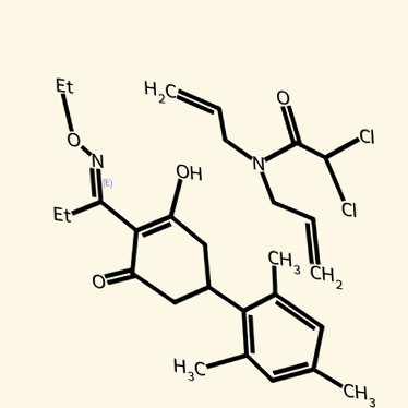 C=CCN(CC=C)C(=O)C(Cl)Cl.CCO/N=C(\CC)C1=C(O)CC(c2c(C)cc(C)cc2C)CC1=O